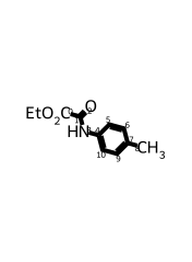 CCOC(=O)C(=O)Nc1ccc(C)cc1